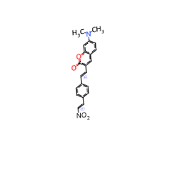 CN(C)c1ccc2cc(/C=C/c3ccc(/C=C/[N+](=O)[O-])cc3)c(=O)oc2c1